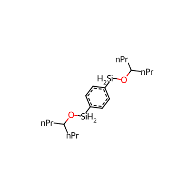 CCCC(CCC)O[SiH2]c1ccc([SiH2]OC(CCC)CCC)cc1